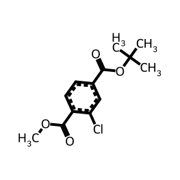 COC(=O)c1ccc(C(=O)OC(C)(C)C)cc1Cl